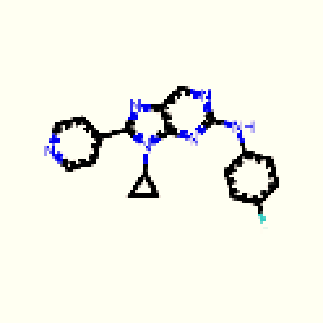 Fc1ccc(Nc2ncc3nc(-c4ccncc4)n(C4CC4)c3n2)cc1